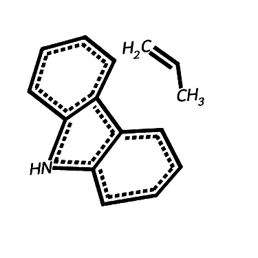 C=CC.c1ccc2c(c1)[nH]c1ccccc12